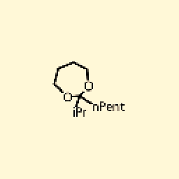 CCCCCC1(C(C)C)OCCCCO1